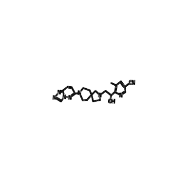 Cc1cc(C#N)cnc1C(O)CN1CCC2(CCN(c3ccc4nncn4n3)CC2)C1